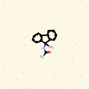 CC1(NC(=O)C(F)(F)F)c2ccccc2-c2ccccc21